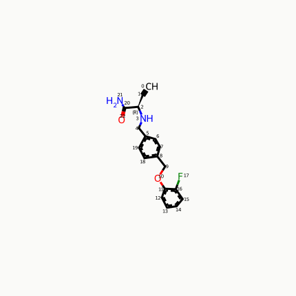 C#C[C@@H](NCc1ccc(COc2ccccc2F)cc1)C(N)=O